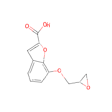 O=C(O)c1cc2cccc(OCC3CO3)c2o1